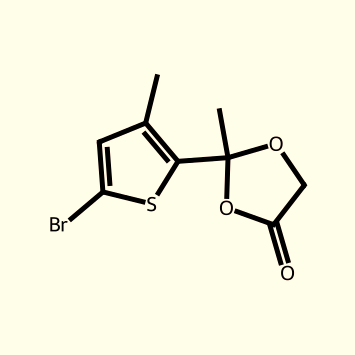 Cc1cc(Br)sc1C1(C)OCC(=O)O1